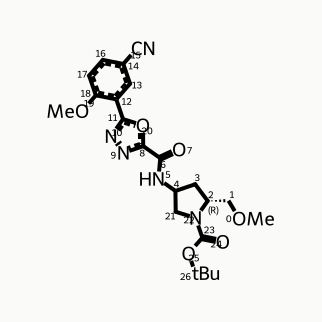 COC[C@H]1CC(NC(=O)c2nnc(-c3cc(C#N)ccc3OC)o2)CN1C(=O)OC(C)(C)C